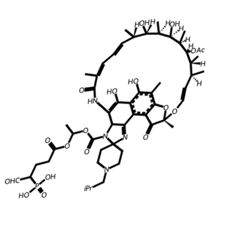 CC(=O)O[C@H]1[C@H](C)[C@H](O)[C@H](C)[C@@H](O)[C@@H](C)/C=C/C=C(/C)C(=O)NC2=C(O)c3c(O)c(C)c4c(c3C3=NC5(CCN(CC(C)C)CC5)N(C(=O)OC(C)OC(=O)CCC(C=O)P(=O)(O)O)C32)C(=O)[C@@](C)(O/C=C/[C@H](C)[C@H]1C)O4